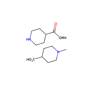 CN1CCC(C(=O)O)CC1.COC(=O)C1CCNCC1